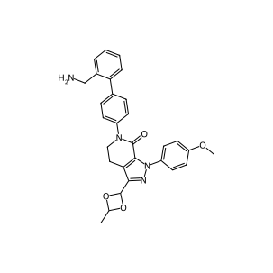 COc1ccc(-n2nc(C3OC(C)O3)c3c2C(=O)N(c2ccc(-c4ccccc4CN)cc2)CC3)cc1